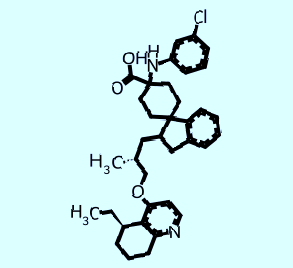 CC[C@@H]1CCCc2nccc(OC[C@H](C)CC3Cc4ccccc4C34CCC(Nc3cccc(Cl)c3)(C(=O)O)CC4)c21